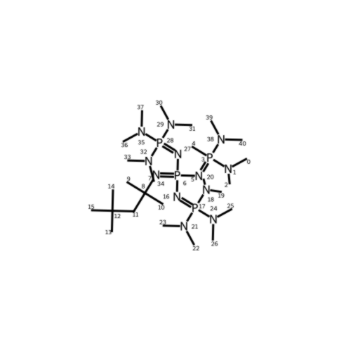 CN(C)P(C)(=NP(=NC(C)(C)CC(C)(C)C)(N=P(N(C)C)(N(C)C)N(C)C)N=P(N(C)C)(N(C)C)N(C)C)N(C)C